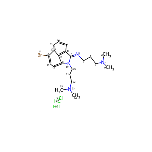 CN(C)CCCN=C1c2cccc3c(Br)ccc(c23)N1CCCN(C)C.Cl.Cl.Cl